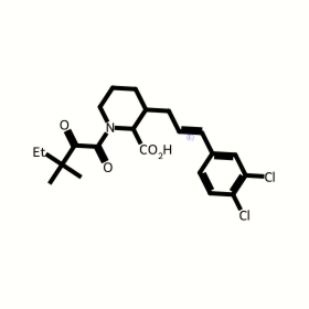 CCC(C)(C)C(=O)C(=O)N1CCCC(C/C=C/c2ccc(Cl)c(Cl)c2)C1C(=O)O